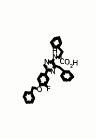 O=C(O)[C@H](Cc1ccccc1)Nc1ncc(-c2ccc(OCc3ccccc3)c(F)c2)nc1Cc1ccccc1